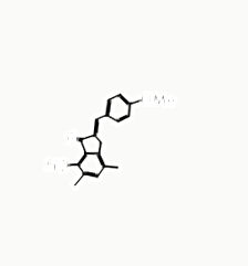 COc1ccc(C=C2Cc3c(C)cc(C)c(O)c3C2=O)cc1